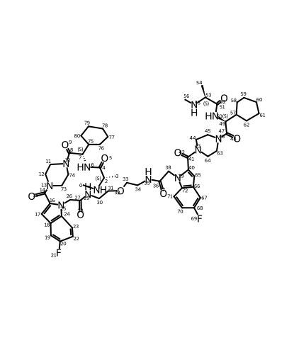 CN[C@@H](C)C(=O)N[C@H](C(=O)N1CCN(C(=O)c2cc3cc(F)ccc3n2CC(=O)NCCOCCNC(=O)Cn2c(C(=O)N3CCN(C(=O)[C@@H](NC(=O)[C@H](C)NC)C4CCCCC4)CC3)cc3cc(F)ccc32)CC1)C1CCCCC1